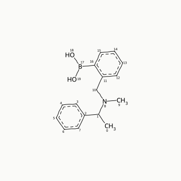 CC(c1ccccc1)N(C)Cc1ccccc1B(O)O